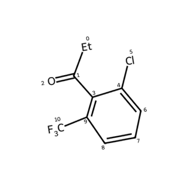 CCC(=O)c1c(Cl)cccc1C(F)(F)F